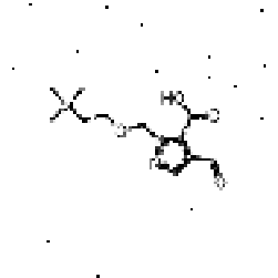 C[Si](C)(C)CCOCn1ncc(C=O)c1C(=O)O